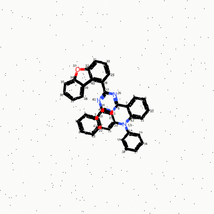 c1ccc(-c2nc(-c3ccccc3N(c3ccccc3)c3ccccc3)nc(-c3cccc4oc5ccccc5c34)n2)cc1